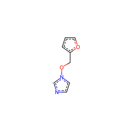 [c]1nccn1OCc1ccco1